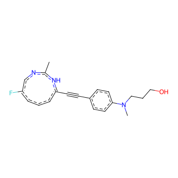 Cc1ncc(F)cccc(C#Cc2ccc(N(C)CCCO)cc2)[nH]1